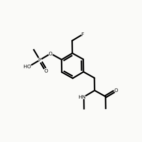 CNC(Cc1ccc(OP(C)(=O)O)c(CF)c1)C(C)=O